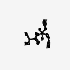 N#COP(F)(F)(OC#N)OC(=O)C(=O)O